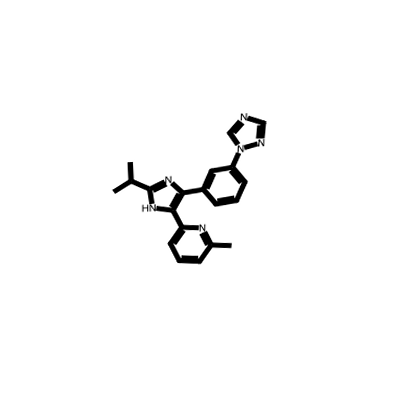 Cc1cccc(-c2[nH]c(C(C)C)nc2-c2cccc(-n3cncn3)c2)n1